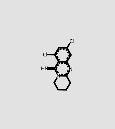 N=c1c2c(Cl)cc(Cl)cc2nc2n1CCCC2